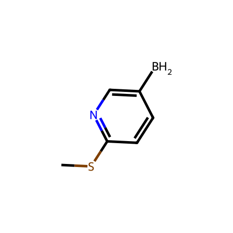 Bc1ccc(SC)nc1